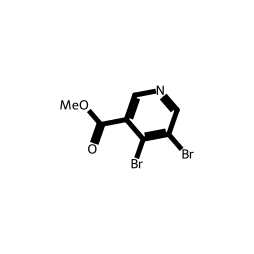 COC(=O)c1cncc(Br)c1Br